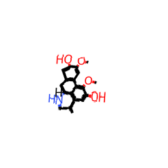 COc1cc2c(cc1O)C[C@@H]1NCC(C)c3cc(O)c(OC)c-2c31